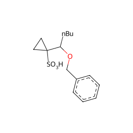 CCCCC(OCc1ccccc1)C1(S(=O)(=O)O)CC1